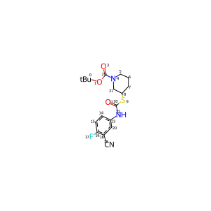 CC(C)(C)OC(=O)N1CCCC(SC(=O)Nc2ccc(F)c(C#N)c2)C1